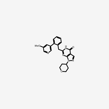 COc1cncc(-c2ccccc2Cc2nc3c(cnn3C3CCOCC3)c(=O)[nH]2)c1